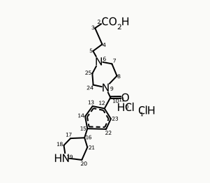 Cl.Cl.O=C(O)CCCN1CCN(C(=O)c2ccc(C3CCNCC3)cc2)CC1